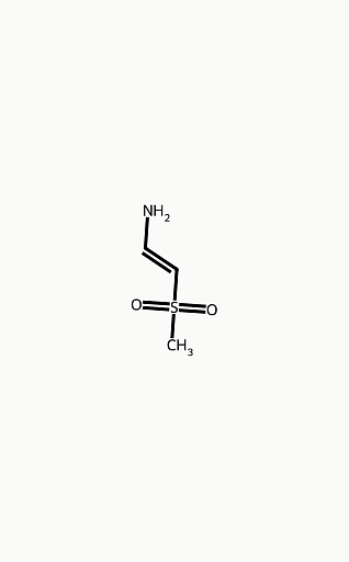 CS(=O)(=O)C=CN